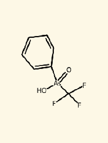 O=[As](O)(c1ccccc1)C(F)(F)F